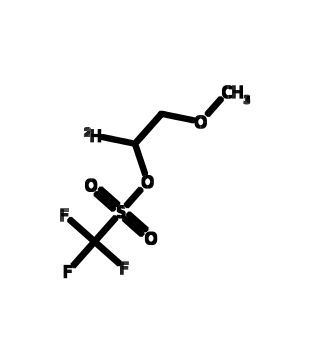 [2H]C(COC)OS(=O)(=O)C(F)(F)F